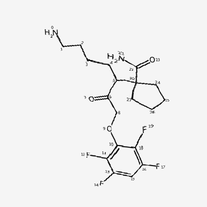 NCCCCC(C(=O)COc1c(F)c(F)cc(F)c1F)C1(C(N)=O)CCCC1